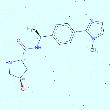 C[C@H](NC(=O)[C@@H]1C[C@@H](O)CN1)c1ccc(-c2nccn2C)cc1